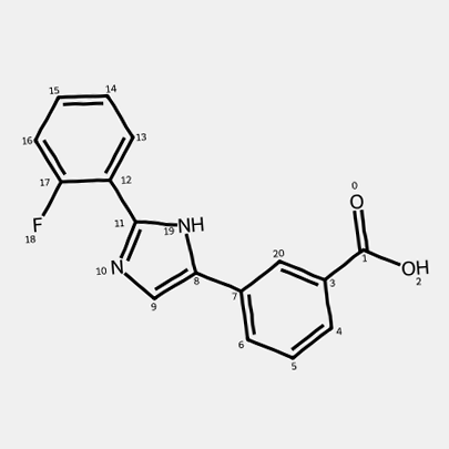 O=C(O)c1cccc(-c2cnc(-c3ccccc3F)[nH]2)c1